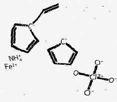 C=C[c-]1cccc1.[Fe+2].[NH4+].[O-][Cl+3]([O-])([O-])[O-].c1cc[cH-]c1